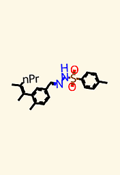 CCC/C(C)=C(/C)c1cc(C=NNS(=O)(=O)c2ccc(C)cc2)ccc1C